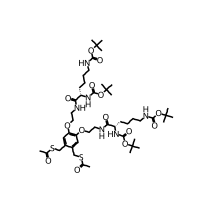 CC(=O)SCc1cc(OCCNC(=O)[C@H](CCCCNC(=O)OC(C)(C)C)NC(=O)OC(C)(C)C)c(OCCNC(=O)[C@H](CCCCNC(=O)OC(C)(C)C)NC(=O)OC(C)(C)C)cc1CSC(C)=O